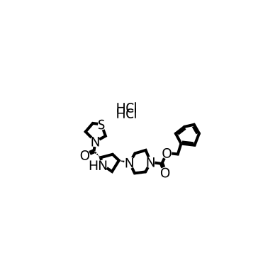 Cl.Cl.O=C(OCc1ccccc1)N1CCN([C@@H]2CN[C@H](C(=O)N3CCSC3)C2)CC1